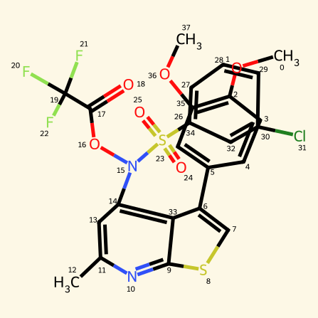 COc1ccc(-c2csc3nc(C)cc(N(OC(=O)C(F)(F)F)S(=O)(=O)c4cccc(Cl)c4)c23)cc1OC